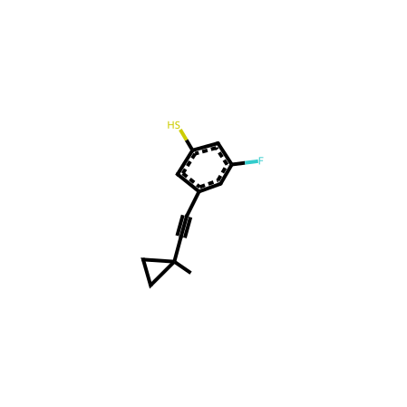 CC1(C#Cc2cc(F)cc(S)c2)CC1